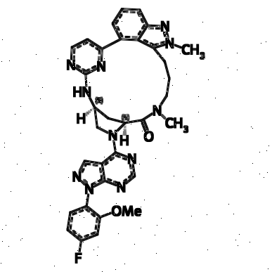 COc1cc(F)ccc1-n1ncc2c(N3C[C@@H]4C[C@H]3C(=O)N(C)CCCc3c5c(cccc5nn3C)-c3ccnc(n3)N4)ncnc21